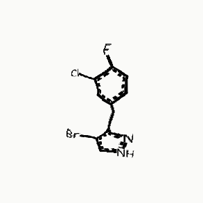 Fc1ccc(-c2n[nH]cc2Br)cc1Cl